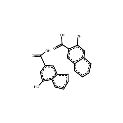 O=C(O)c1cc(O)c2ccccc2c1.O=C(O)c1cc2ccccc2cc1O